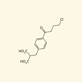 O=C(CCCCl)c1ccc(CC(C(=O)O)C(=O)O)cc1